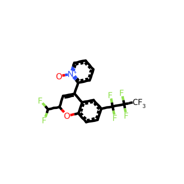 [O-][n+]1ccccc1C1=CC(C(F)F)Oc2ccc(C(F)(F)C(F)(F)C(F)(F)F)cc21